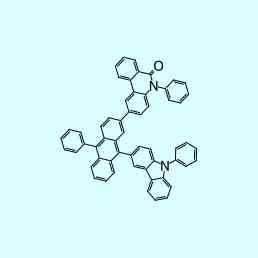 O=c1c2ccccc2c2cc(-c3ccc4c(-c5ccccc5)c5ccccc5c(-c5ccc6c(c5)c5ccccc5n6-c5ccccc5)c4c3)ccc2n1-c1ccccc1